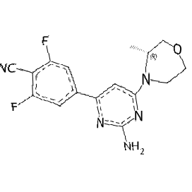 C[C@@H]1COCCN1c1cc(-c2cc(F)c(C#N)c(F)c2)nc(N)n1